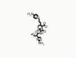 CO/N=C(\C(=O)NC1C(=O)N2C(C(=O)[O-])=C(/C=C/C[n+]3ccc(N)cc3)CS[C@@H]12)c1csc(N)n1